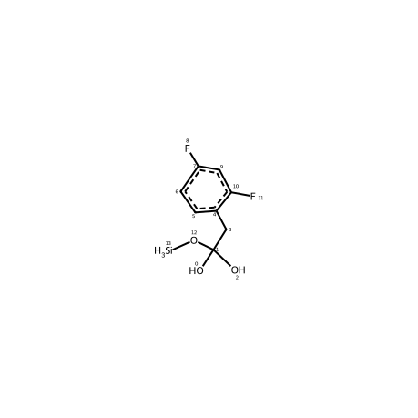 OC(O)(Cc1ccc(F)cc1F)O[SiH3]